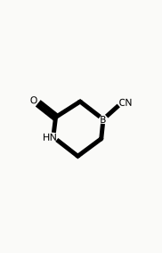 N#CB1CCNC(=O)C1